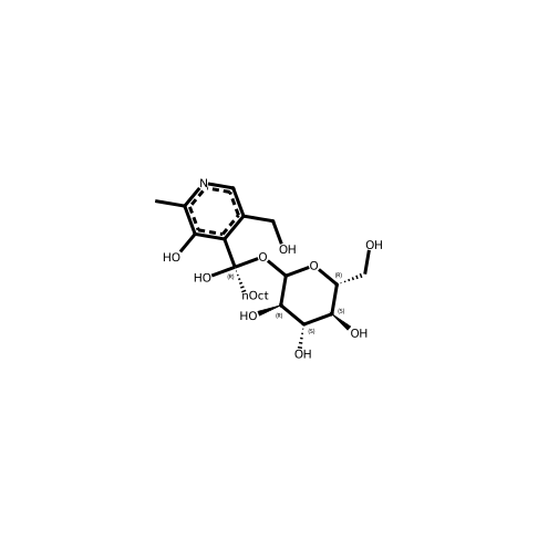 CCCCCCCC[C@@](O)(OC1O[C@H](CO)[C@@H](O)[C@H](O)[C@H]1O)c1c(CO)cnc(C)c1O